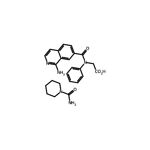 NC(=O)N1CCCCC1.Nc1nccc2ccc(C(=O)N(CC(=O)O)c3ccccc3)cc12